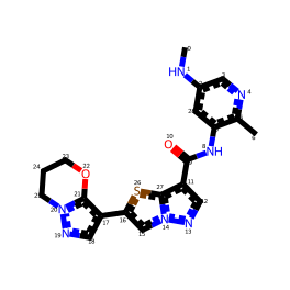 CNc1cnc(C)c(NC(=O)c2cnn3cc(-c4cnn5c4OCCC5)sc23)c1